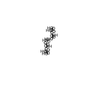 O=C(Nc1cccc(S(=O)(=O)Nc2ccc(O)c3c(S(=O)(=O)O)cccc23)c1)Nc1cccc(S(=O)(=O)Nc2ccc(O)c3c(S(=O)(=O)O)cccc23)c1